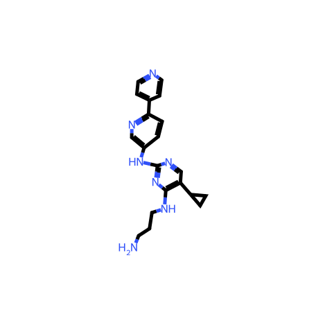 NCCCNc1nc(Nc2ccc(-c3ccncc3)nc2)ncc1C1CC1